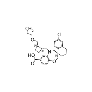 C=CCOC[C@@H]1CC[C@H]1CN1C[C@@]2(CCCc3cc(Cl)ccc32)COc2ccc(C(=O)O)cc21